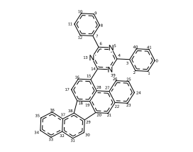 c1ccc(-c2nc(-c3ccccc3)nc(-c3ccc4c5c(cc6ccccc6c35)-c3ccc5ccccc5c3-4)n2)cc1